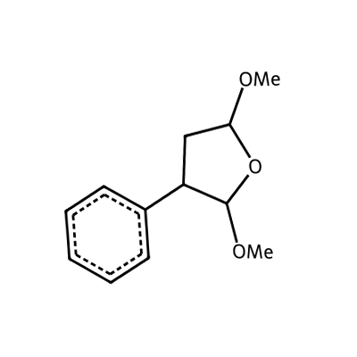 COC1CC(c2ccccc2)C(OC)O1